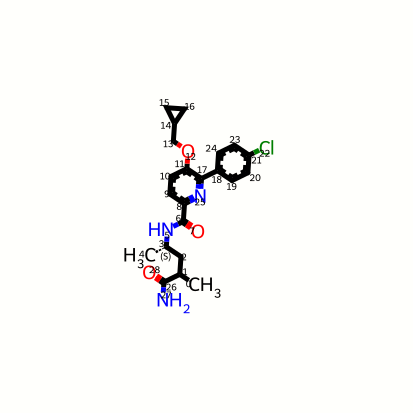 CC(C[C@H](C)NC(=O)c1ccc(OCC2CC2)c(-c2ccc(Cl)cc2)n1)C(N)=O